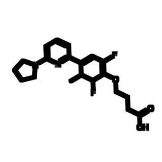 CC1C(c2cccc(N3CCCC3)n2)=CC(F)=C(OCCCC(=O)O)C1F